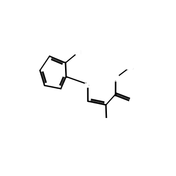 CCC(C)OC(=O)C(=CNc1ccccc1Cl)C(=O)O